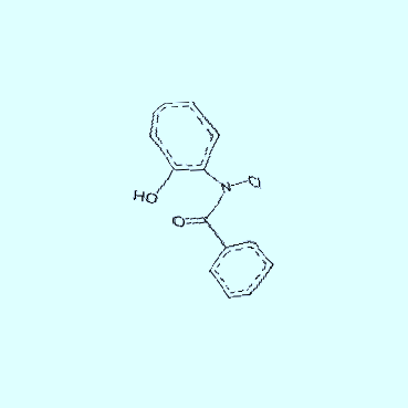 O=C(c1ccccc1)N(Cl)c1ccccc1O